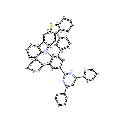 c1ccc(-c2cc(-c3ccccc3)nc(-c3cc(-c4ccccc4)c(-n4c5ccccc5c5cc6sc7ccccc7c6cc54)c(-c4ccccc4)c3)n2)cc1